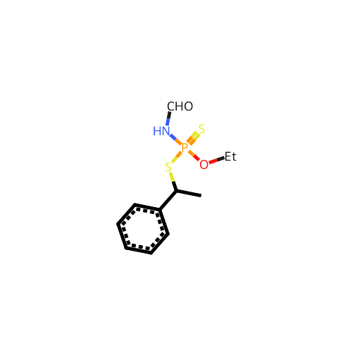 CCOP(=S)(NC=O)SC(C)c1ccccc1